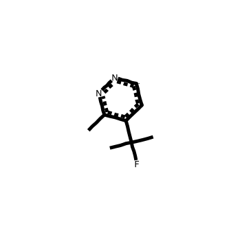 Cc1nn[c]cc1C(C)(C)F